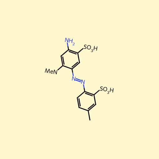 CNc1cc(N)c(S(=O)(=O)O)cc1N=Nc1ccc(C)cc1S(=O)(=O)O